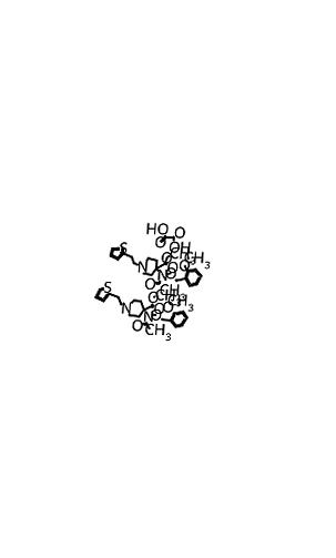 COC(=O)C1(N(OCc2ccccc2OC)C(C)=O)CCN(CCc2cccs2)CC1.COC(=O)C1(N(OCc2ccccc2OC)C(C)=O)CCN(CCc2cccs2)CC1.O=C(O)C(=O)O